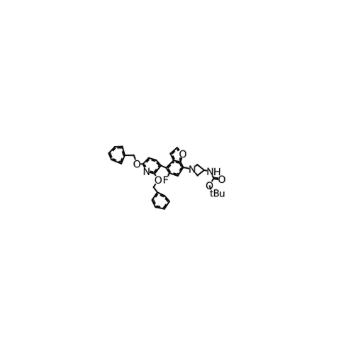 CC(C)(C)OC(=O)NC1CN(c2cc(F)c(-c3ccc(OCc4ccccc4)nc3OCc3ccccc3)c3ccoc23)C1